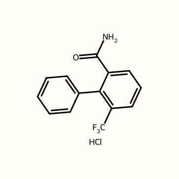 Cl.NC(=O)c1cccc(C(F)(F)F)c1-c1ccccc1